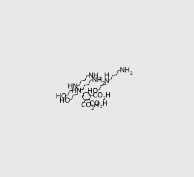 NCCCCNCCCO.NCCCCNCCCO.NCCCCNCCCO.O=C(O)c1cccc(C(=O)O)c1C(=O)O